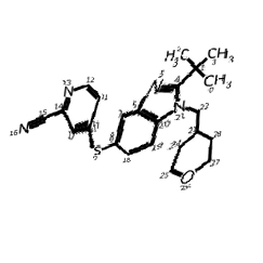 CC(C)(C)c1nc2cc(Sc3ccnc(C#N)c3)ccc2n1CC1CCOCC1